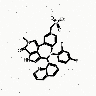 CCS(=O)(=O)Cc1ccc2c(c1)-c1cn(C)c(=O)c3[nH]cc(c13)C(c1cccc3cccnc13)N2c1ccc(F)cc1F